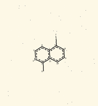 Cc1nccc2c(I)cccc12